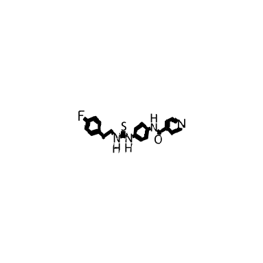 O=C(Nc1ccc(NC(=S)NCCc2ccc(F)cc2)cc1)c1ccncc1